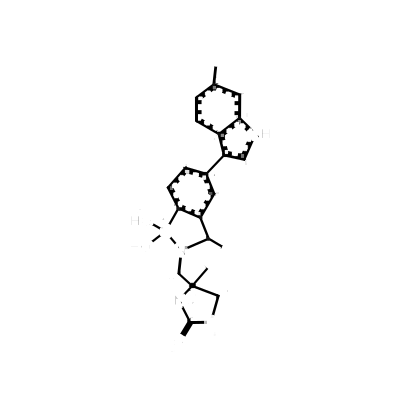 CC1c2cc(-c3c[nH]c4cc(F)ccc34)ccc2S(O)(O)N1CC1(C)COC(=O)N1